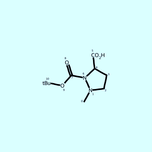 CN1CCC(C(=O)O)N1C(=O)OC(C)(C)C